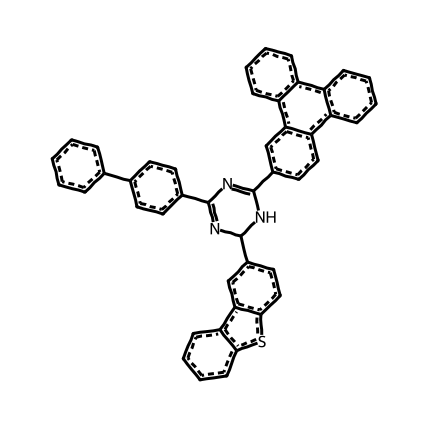 c1ccc(-c2ccc(C3=NC(c4ccc5sc6ccccc6c5c4)NC(c4ccc5c6ccccc6c6ccccc6c5c4)=N3)cc2)cc1